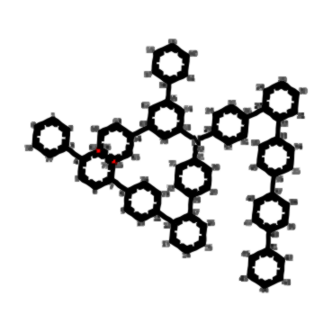 c1ccc(-c2ccc(-c3ccc(-c4ccccc4-c4ccc(N(c5ccc(-c6ccccc6-c6ccc(-c7ccc(-c8ccccc8)cc7)cc6)cc5)c5cc(-c6ccccc6)cc(-c6ccccc6)c5)cc4)cc3)cc2)cc1